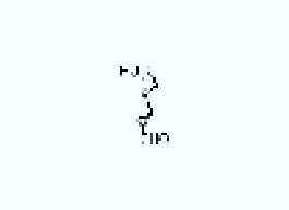 O=COCSCC(=O)O